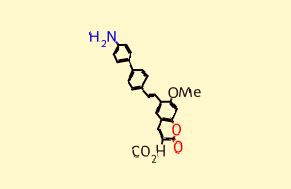 COc1cc2oc(=O)c(C(=O)O)cc2cc1C=Cc1ccc(-c2ccc(N)cc2)cc1